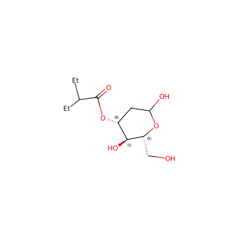 CCC(CC)C(=O)O[C@@H]1CC(O)O[C@H](CO)[C@H]1O